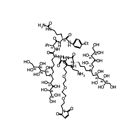 CCc1ccc(NC(=O)[C@H](CCCNC(N)=O)NC(=O)[C@@H](NC(=O)[C@H](CCCCN(C[C@H](O)[C@@H](O)[C@H](O)[C@H](O)CO)C[C@H](O)[C@@H](O)[C@H](O)[C@H](O)CO)NC(=O)[C@H](CCCCN)NC(=O)[C@H](CCCCN(C[C@H](O)[C@@H](O)[C@H](O)[C@H](O)CO)C[C@H](O)[C@@H](O)[C@H](O)[C@H](O)CO)NC(=O)CCOCCOCCOCCN2C(=O)C=CC2=O)C(C)C)cc1